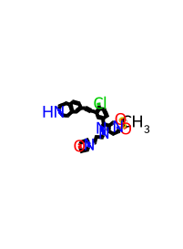 CS(=O)(=O)N1CCc2c(c(-c3ccc(Cl)c(C#Cc4ccc5c(c4)CCNCC5)c3)nn2CCCN2CCOCC2)C1